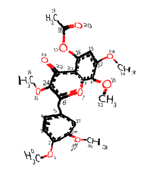 COc1ccc(-c2oc3c(OC)c(OC)cc(OC(C)=O)c3c(=O)c2OC)cc1OC